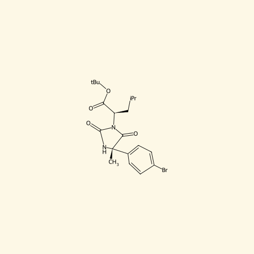 CC(C)C[C@H](C(=O)OC(C)(C)C)N1C(=O)N[C@@](C)(c2ccc(Br)cc2)C1=O